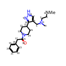 CNCCN(C)Cc1c[nH]nc1C1CCN(C(=O)Cc2ccccc2)CC1